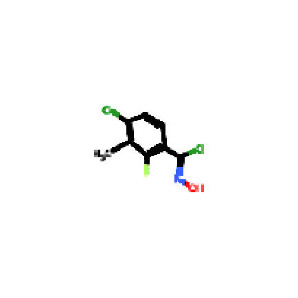 Cc1c(Cl)ccc(C(Cl)=NO)c1F